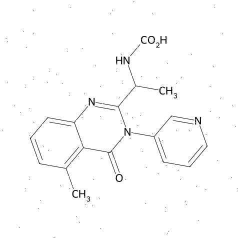 Cc1cccc2nc(C(C)NC(=O)O)n(-c3cccnc3)c(=O)c12